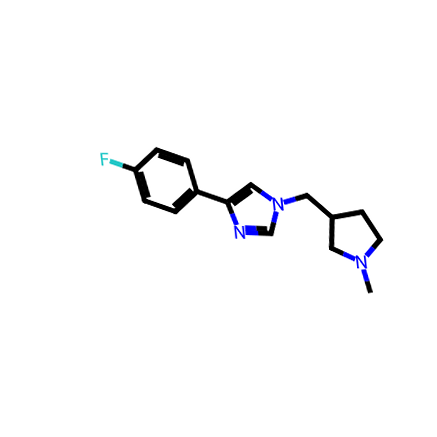 CN1CCC(Cn2cnc(-c3ccc(F)cc3)c2)C1